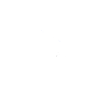 C[C@@]1(CC(=O)O)CC2(NC(=O)c3cccc4ccn(Cc5ccc(-c6ccccc6)cc5)c34)C[C@H]21